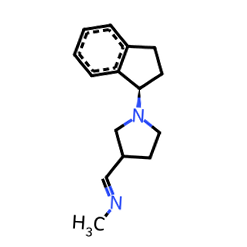 C/N=C/C1CCN([C@@H]2CCc3ccccc32)C1